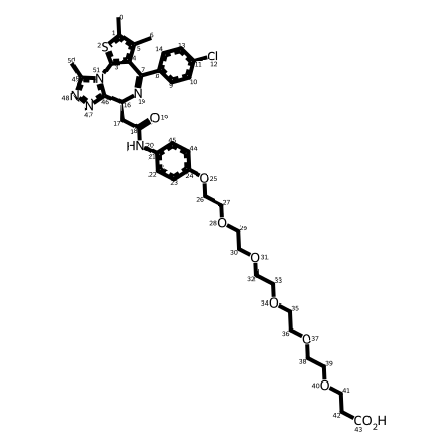 Cc1sc2c(c1C)C(c1ccc(Cl)cc1)=N[C@@H](CC(=O)Nc1ccc(OCCOCCOCCOCCOCCOCCC(=O)O)cc1)c1nnc(C)n1-2